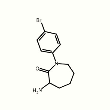 NC1CCCCN(c2ccc(Br)cc2)C1=O